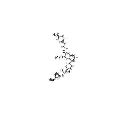 COc1cc2c(-c3ccc(NC(=O)Cn4cc(C(C)(C)C)nn4)cc3)ncnc2cc1OCCCN1CCN(C)CC1